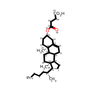 CC(C)CCC[C@@H](C)[C@H]1CCC2C3CC=C4C[C@@H](OC(=O)CCC(=O)O)CC[C@]4(C)C3CC[C@@]21C